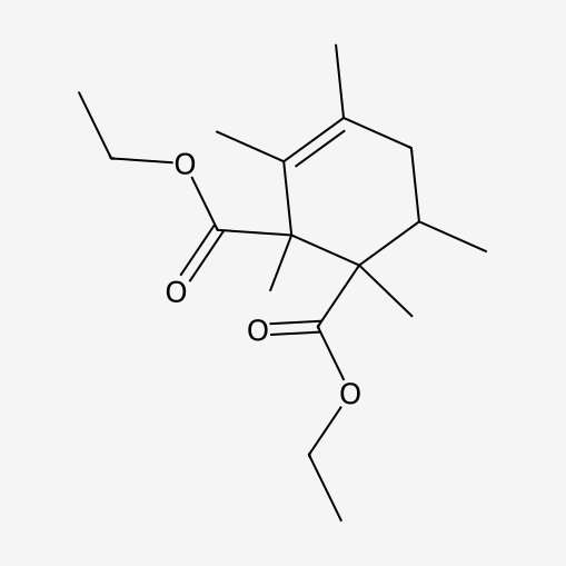 CCOC(=O)C1(C)C(C)=C(C)CC(C)C1(C)C(=O)OCC